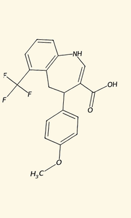 COc1ccc(C2Cc3c(cccc3C(F)(F)F)NC=C2C(=O)O)cc1